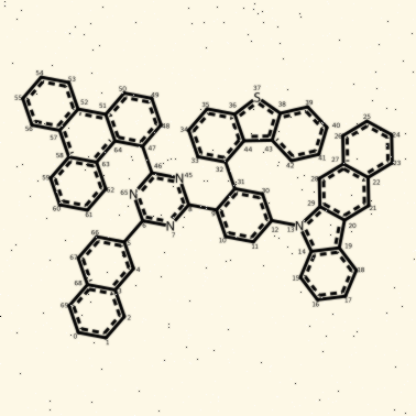 c1ccc2cc(-c3nc(-c4ccc(-n5c6ccccc6c6cc7ccccc7cc65)cc4-c4cccc5sc6ccccc6c45)nc(-c4cccc5c6ccccc6c6ccccc6c45)n3)ccc2c1